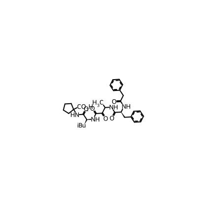 CC[C@H](C)[C@H](NC(=O)C(=O)C(C)NC(=O)[C@H](Cc1ccccc1)NC(=O)Cc1ccccc1)C(=O)NC1(C(=O)O)CCCC1